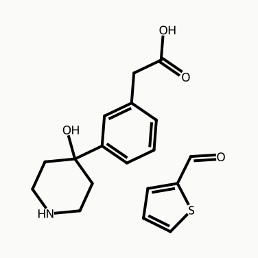 O=C(O)Cc1cccc(C2(O)CCNCC2)c1.O=Cc1cccs1